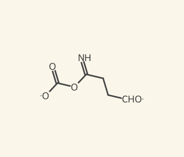 N=C(CC[C]=O)OC([O])=O